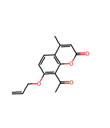 C=CCOc1ccc2c(C)cc(=O)oc2c1C(C)=O